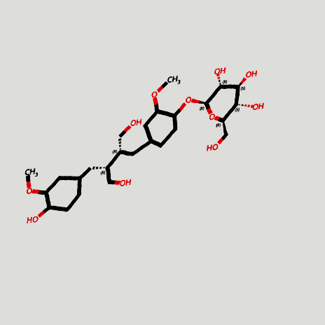 COC1CC(C[C@@H](CO)[C@H](CO)CC2CCC(O[C@@H]3O[C@H](CO)[C@@H](O)[C@H](O)[C@H]3O)C(OC)C2)CCC1O